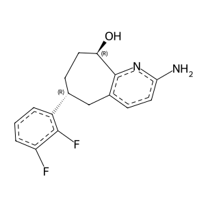 Nc1ccc2c(n1)[C@H](O)CC[C@@H](c1cccc(F)c1F)C2